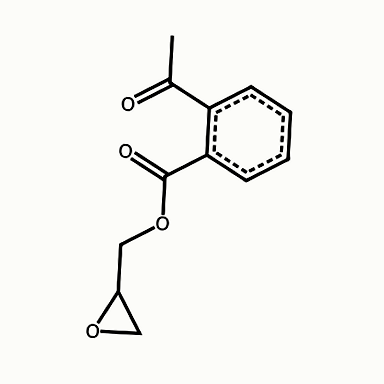 CC(=O)c1ccccc1C(=O)OCC1CO1